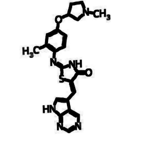 Cc1cc(OC2CCN(C)C2)ccc1N=C1NC(=O)C(=Cc2c[nH]c3ncncc23)S1